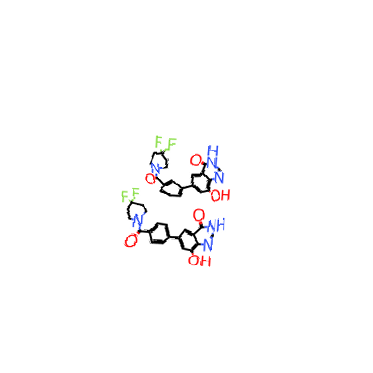 O=C(c1ccc(-c2cc(O)c3nc[nH]c(=O)c3c2)cc1)N1CCC(F)(F)CC1.O=C(c1cccc(-c2cc(O)c3nc[nH]c(=O)c3c2)c1)N1CCC(F)(F)CC1